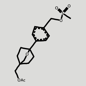 CC(=O)OCC12CCC(c3ccc(COS(C)(=O)=O)cc3)(CC1)OC2